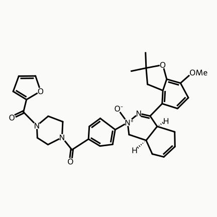 COc1ccc(C2=N[N+]([O-])(c3ccc(C(=O)N4CCN(C(=O)c5ccco5)CC4)cc3)C[C@@H]3CC=CC[C@H]23)c2c1OC(C)(C)C2